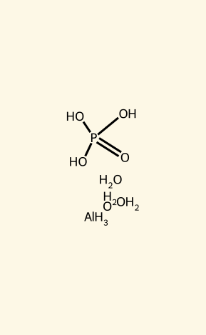 O.O.O.O=P(O)(O)O.[AlH3]